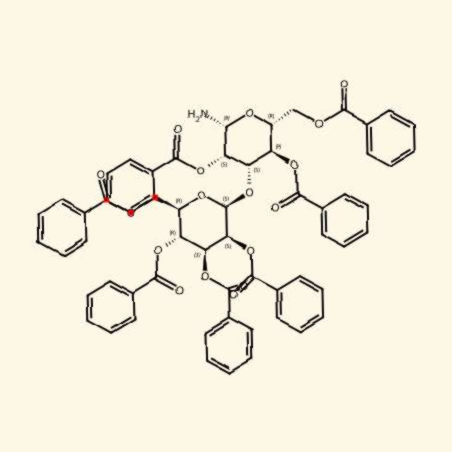 N[C@@H]1O[C@H](COC(=O)c2ccccc2)[C@@H](OC(=O)c2ccccc2)[C@H](O[C@@H]2O[C@H](COC(=O)c3ccccc3)[C@@H](OC(=O)c3ccccc3)[C@H](OC(=O)c3ccccc3)[C@@H]2OC(=O)c2ccccc2)[C@@H]1OC(=O)c1ccccc1